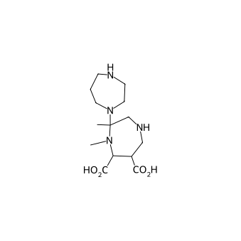 CN1C(C(=O)O)C(C(=O)O)CNCC1(C)N1CCCNCC1